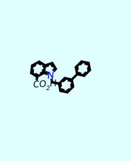 O=C(O)c1cccc2ccn(Cc3cccc(-c4ccccc4)c3)c12